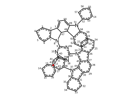 C1=C2c3ccccc3N(c3nc(-c4ccccc4)nc(-n4c5ccccc5c5ccc6c7ccccc7n(-c7ccccc7)c6c54)n3)C2C2C(=C1)N(c1ccccc1)c1ccccc12